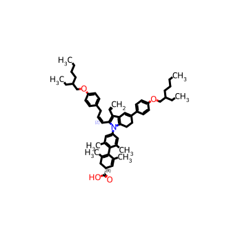 C=Cc1c2c(n(-c3cc(C)c(C4=C(C)C[C@@H](C(=O)O)C=C4C)c(C)c3)c1/C=C\Cc1ccc(OCC(CC)CCCC)cc1)CCC(c1ccc(OCC(CC)CCCC)cc1)=C2